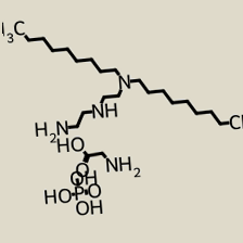 CCCCCCCCCN(CCCCCCCCC)CCNCCN.NCC(=O)O.O=P(O)(O)O